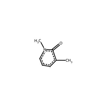 Cc1[c]ccn(C)c1=O